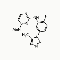 CNc1ccnc(Nc2cc(-n3nnnc3C)ccc2F)n1